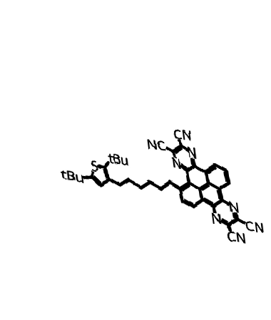 CC(C)(C)c1cc(CCCCCCc2ccc3c4nc(C#N)c(C#N)nc4c4cccc5c6nc(C#N)c(C#N)nc6c2c3c45)c(C(C)(C)C)s1